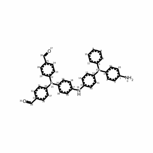 Nc1ccc(P(c2ccccc2)c2ccc(Nc3ccc(P(c4ccc(C=O)cc4)c4ccc(C=O)cc4)cc3)cc2)cc1